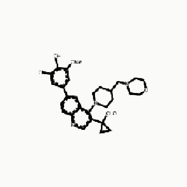 COc1cc(-c2ccc3ncc(C4(C=O)CC4)c(N4CCC(CN5CCOCC5)CC4)c3c2)cc(Cl)c1O